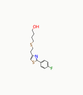 OCCCCSCCc1csc(-c2ccc(F)cc2)n1